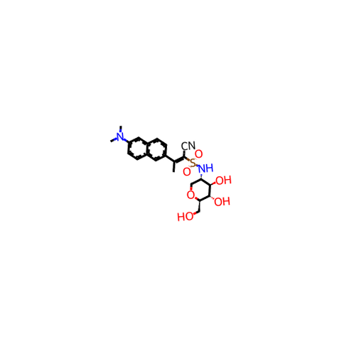 C/C(=C(/C#N)S(=O)(=O)N[C@H]1CO[C@H](CO)[C@@H](O)[C@@H]1O)c1ccc2cc(N(C)C)ccc2c1